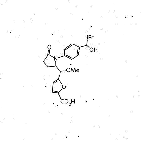 CO[C@H](c1ccc(C(=O)O)o1)C1CCC(=O)N1c1ccc(C(O)C(C)C)cc1